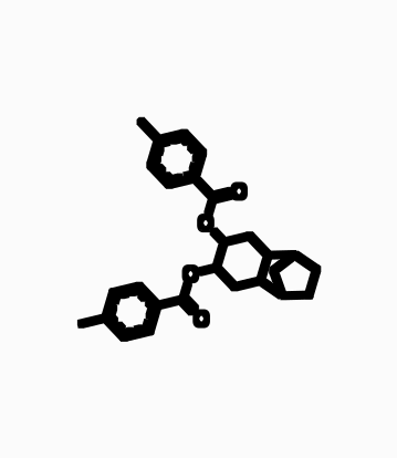 Cc1ccc(C(=O)OC2CC3C4CCC(C4)C3CC2OC(=O)c2ccc(C)cc2)cc1